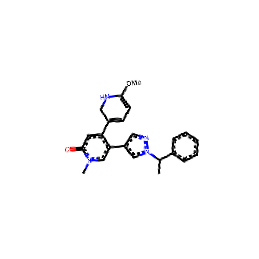 COC1=CC=C(c2cc(=O)n(C)cc2-c2cnn(C(C)c3ccccc3)c2)CN1